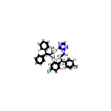 BC=C(c1ccccc1)c1ccccc1.Fc1ccc(C([SiH2]Cn2cncn2)c2ccc(F)cc2)cc1